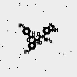 CC(C)c1ccc(C(=O)NC(c2ccc(C(C)C)cc2)C(O)C(=O)N(N)c2ccc3nc[nH]c3c2)cc1